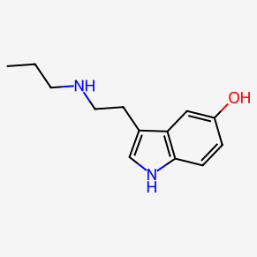 CCCNCCc1c[nH]c2ccc(O)cc12